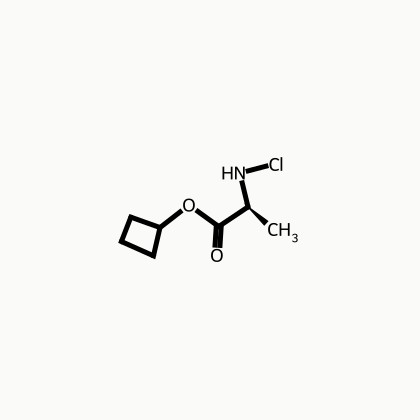 C[C@H](NCl)C(=O)OC1CCC1